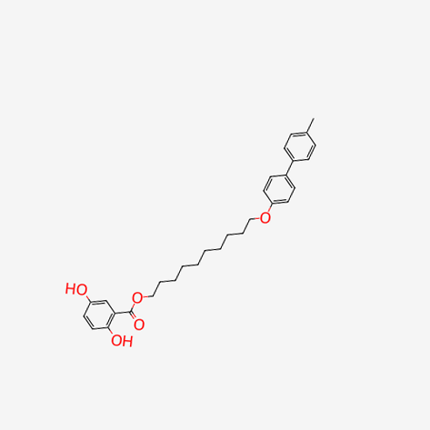 Cc1ccc(-c2ccc(OCCCCCCCCCCOC(=O)c3cc(O)ccc3O)cc2)cc1